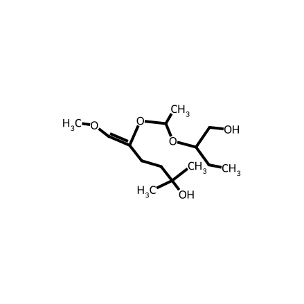 CCC(CO)OC(C)O/C(=C\OC)CCC(C)(C)O